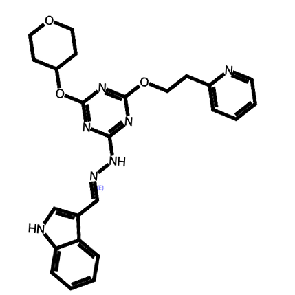 C(=N\Nc1nc(OCCc2ccccn2)nc(OC2CCOCC2)n1)/c1c[nH]c2ccccc12